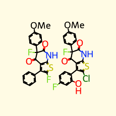 COc1ccc(C2(F)C(=O)Nc3sc(Cl)c(-c4ccc(F)cc4O)c3C2=O)cc1.COc1ccc(C2(F)C(=O)Nc3sc(F)c(-c4ccccc4)c3C2=O)cc1